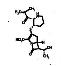 C[C@@H](O)[C@H]1C(=O)N2C(C(=O)O)=C(S[C@H]3CCCN[C@H]3C(=O)N(C)C)C[C@H]12